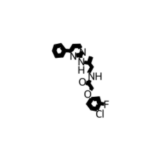 C=C(CCNC(=O)COc1ccc(Cl)c(F)c1)Nc1nccc(-c2ccccc2)n1